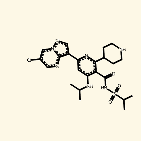 CC(C)Nc1cc(-c2cnn3cc(Cl)cnc23)nc(C2CCNCC2)c1C(=O)NS(=O)(=O)C(C)C